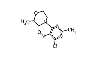 Cc1nc(Cl)c(N=O)c(N2CCOC(C)C2)n1